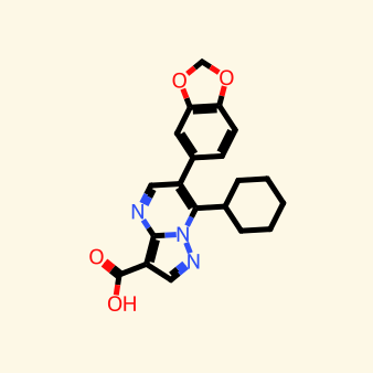 O=C(O)c1cnn2c(C3CCCCC3)c(-c3ccc4c(c3)OCO4)cnc12